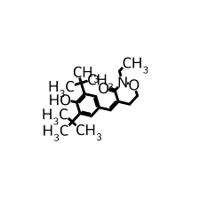 CCN1OCC/C(=C/c2cc(C(C)(C)C)c(O)c(C(C)(C)C)c2)C1=O